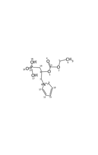 CCOC(=O)OC(C[n+]1ccccc1)CP(=O)(O)O